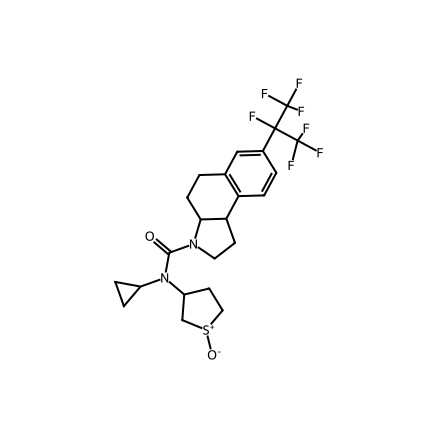 O=C(N1CCC2c3ccc(C(F)(C(F)(F)F)C(F)(F)F)cc3CCC21)N(C1CC1)C1CC[S+]([O-])C1